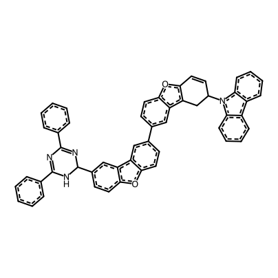 C1=CC(n2c3ccccc3c3ccccc32)Cc2c1oc1ccc(-c3ccc4oc5ccc(C6N=C(c7ccccc7)N=C(c7ccccc7)N6)cc5c4c3)cc21